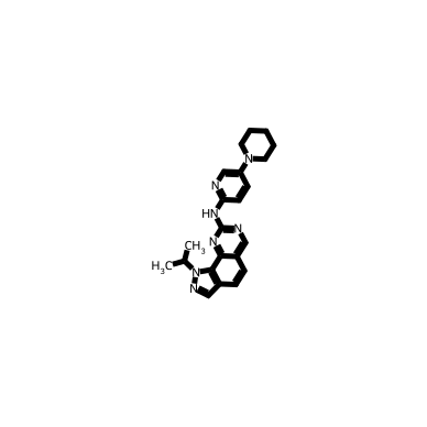 CC(C)n1ncc2ccc3cnc(Nc4ccc(N5CCCCC5)cn4)nc3c21